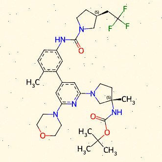 Cc1ccc(NC(=O)N2CC[C@@H](CC(F)(F)F)C2)cc1-c1cc(N2CCOCC2)nc(N2CC[C@](C)(NC(=O)OC(C)(C)C)C2)c1